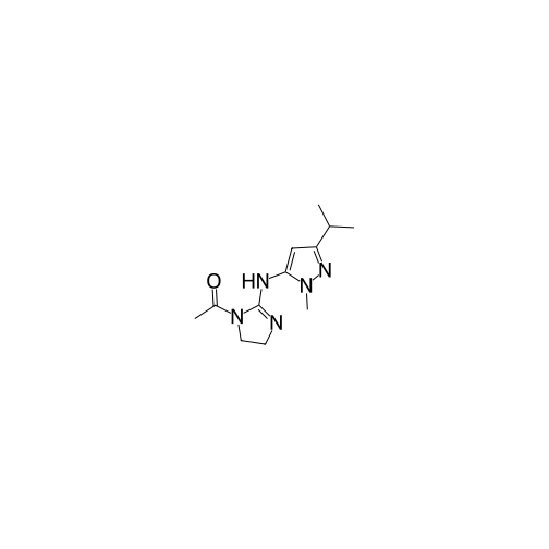 CC(=O)N1CCN=C1Nc1cc(C(C)C)nn1C